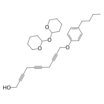 C1CCC(OC2CCCCO2)OC1.CCCCc1ccc(OCC#CCC#CCC#CCO)cc1